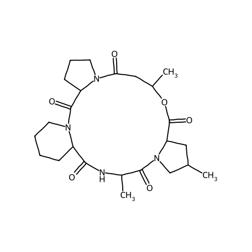 CC1CC2C(=O)OC(C)CC(=O)N3CCCC3C(=O)N3CCCCC3C(=O)NC(C)C(=O)N2C1